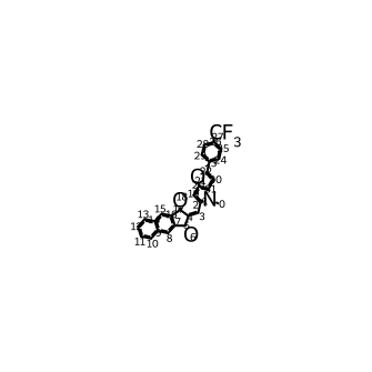 Cn1c(C=C2C(=O)c3cc4ccccc4cc3C2=O)cc2oc(-c3ccc(C(F)(F)F)cc3)cc21